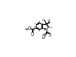 COC(=O)c1ccc2c(c1)N(C(C)=O)CC2(C)C